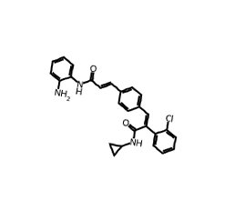 Nc1ccccc1NC(=O)C=Cc1ccc(C=C(C(=O)NC2CC2)c2ccccc2Cl)cc1